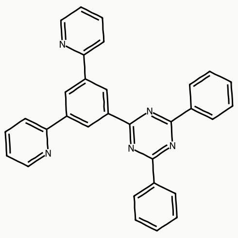 c1ccc(-c2nc(-c3ccccc3)nc(-c3cc(-c4ccccn4)cc(-c4ccccn4)c3)n2)cc1